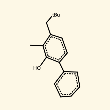 Cc1c(CC(C)(C)C)ccc(-c2ccccc2)c1O